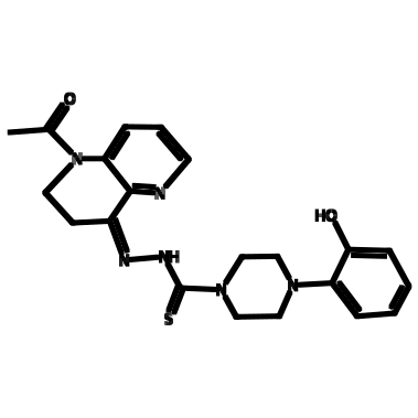 CC(=O)N1CC/C(=N/NC(=S)N2CCN(c3ccccc3O)CC2)c2ncccc21